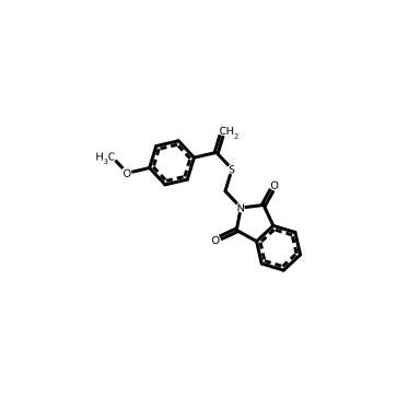 C=C(SCN1C(=O)c2ccccc2C1=O)c1ccc(OC)cc1